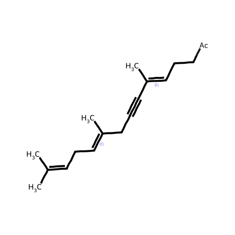 CC(=O)CC/C=C(\C)C#CC/C(C)=C/CC=C(C)C